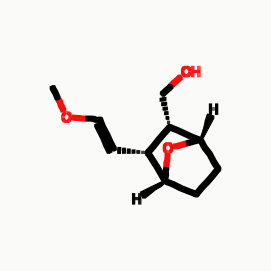 COC=C[C@@H]1[C@H](CO)[C@@H]2CC[C@H]1O2